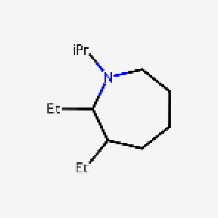 CCC1CCCCN(C(C)C)C1CC